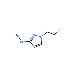 CC(C)Nc1ccn(CCF)n1